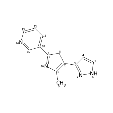 CC1=C(c2cc[nH]n2)CC(c2cccnc2)=N1